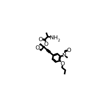 CCCOc1ccc(C#CC2(OC(=O)C(C)N)COC2)cc1N(C)C=O